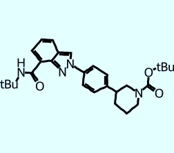 CC(C)(C)NC(=O)c1cccc2cn(-c3ccc(C4CCCN(C(=O)OC(C)(C)C)C4)cc3)nc12